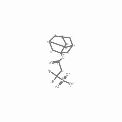 O=C(CC(F)(F)S(=O)(=O)O)OC12CC3CC(CC(C3)C1)C2